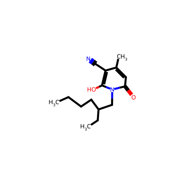 CCCCC(CC)Cn1c(O)c(C#N)c(C)cc1=O